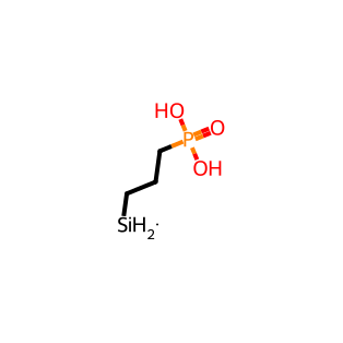 O=P(O)(O)CCC[SiH2]